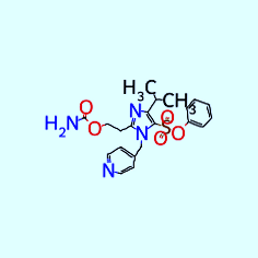 CC(C)c1nc(CCOC(N)=O)n(Cc2ccncc2)c1S(=O)(=O)Oc1ccccc1